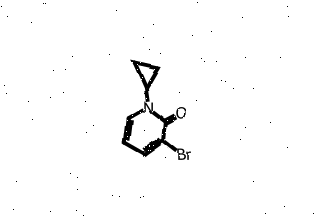 O=c1c(Br)cccn1C1CC1